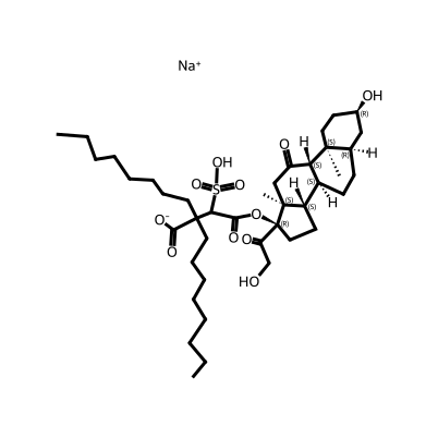 CCCCCCCCC(CCCCCCCC)(C(=O)[O-])C(C(=O)O[C@]1(C(=O)CO)CC[C@H]2[C@@H]3CC[C@@H]4C[C@H](O)CC[C@]4(C)[C@H]3C(=O)C[C@@]21C)S(=O)(=O)O.[Na+]